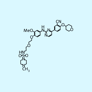 COc1cc(Nc2nccc(-c3ccc(OC4CCOCC4)c(C#N)c3)n2)ccc1OCCOCCNS(=O)(=O)N1CCN(C)CC1